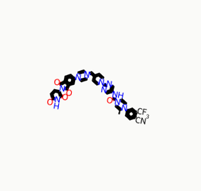 C[C@H]1CN(C(=O)Nc2cnc(N3CCC(CN4CCN(c5ccc6c(c5)C(=O)N(C5CCC(=O)NC5=O)C6=O)CC4)CC3)nc2)CCN1c1ccc(C#N)c(C(F)(F)F)c1